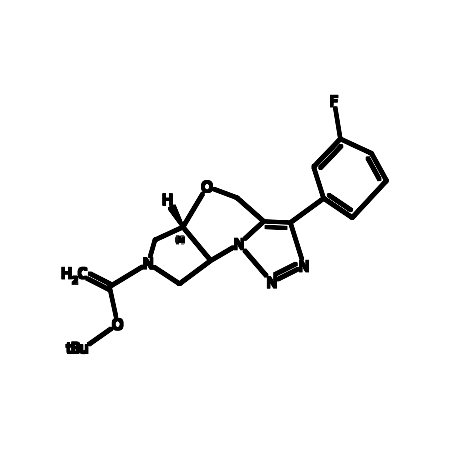 C=C(OC(C)(C)C)N1CC2[C@H](C1)OCc1c(-c3cccc(F)c3)nnn12